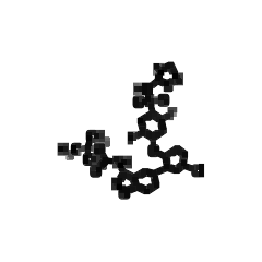 CC(C)(C)OC(=O)Nc1noc2ccc(-c3cc(Cl)ccc3Oc3cc(F)c(S(=O)(=O)Nc4ncns4)cc3F)cc12